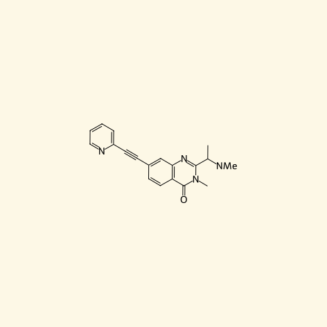 CNC(C)c1nc2cc(C#Cc3ccccn3)ccc2c(=O)n1C